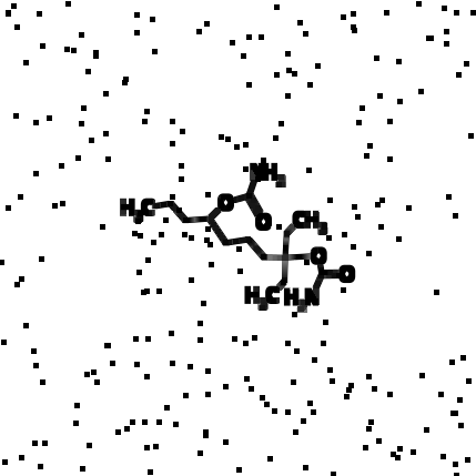 CCCC(CCCC(CC)(CC)OC(N)=O)OC(N)=O